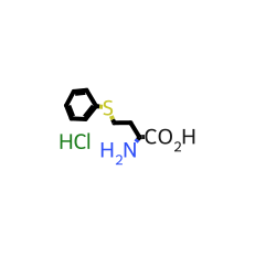 Cl.NC(CCSc1ccccc1)C(=O)O